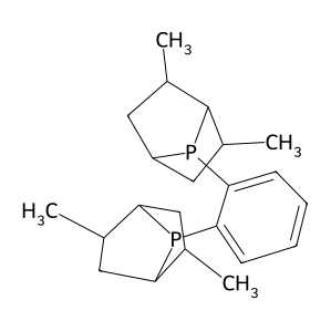 CC1CC2C(C)CC1P2c1ccccc1P1C2CC(C)C1C(C)C2